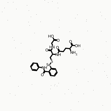 NC(CCC(=O)NC(CS[Se]c1ccccc1C(=O)Nc1ccccc1)C(=O)NCC(=O)O)C(=O)O